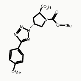 COc1ccc(-c2nnn([C@@H]3C[C@@H](C(=O)O)N(C(=O)OC(C)(C)C)C3)n2)cc1